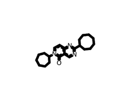 O=c1c2cnc(C3CCCCCCC3)nc2ccn1C1CCCCCC1